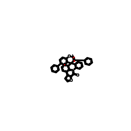 O=c1c2occc2c2cccc3c2n1-c1ccccc1C31c2cc(-c3ccccc3)ccc2Oc2ccc(-c3ccccc3)cc21